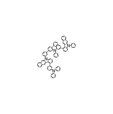 c1ccc(-c2ccc(-c3cccc(-n4c5cc6ccccc6cc5c5c(-c6cccc(N(c7ccccc7)c7ccccc7)c6)cccc54)c3)cc2N(c2ccccc2)c2cccc(-c3cccc4c3c3cc5ccccc5cc3n4-c3ccccc3)c2)cc1